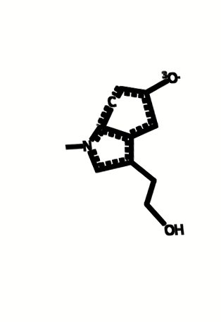 Cn1cc(CCO)c2cc([3O])ccc21